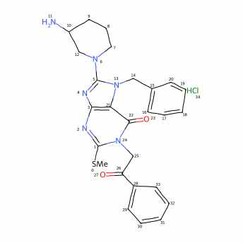 CSc1nc2nc(N3CCCC(N)C3)n(Cc3ccccc3)c2c(=O)n1CC(=O)c1ccccc1.Cl